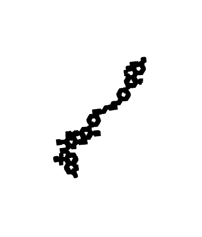 CCc1cc(Nc2ncc(Br)c(Nc3ccc4nc(C)ccc4c3P(C)(C)=O)n2)c(OC)cc1N1CCC(NCCNCCC2CCN(c3cc(F)c(C4CCC(=O)NC4=O)c(F)c3)CC2)CC1